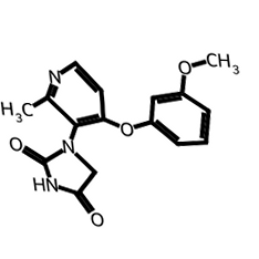 COc1cccc(Oc2ccnc(C)c2N2CC(=O)NC2=O)c1